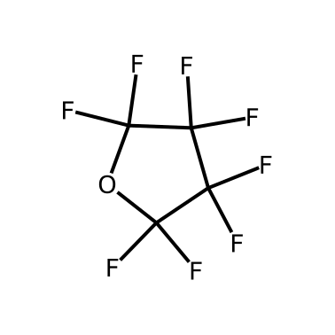 FC1(F)OC(F)(F)C(F)(F)C1(F)F